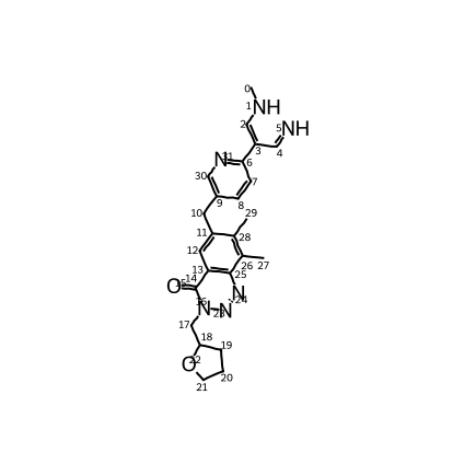 CN/C=C(\C=N)c1ccc(Cc2cc3c(=O)n(CC4CCCO4)nnc3c(C)c2C)cn1